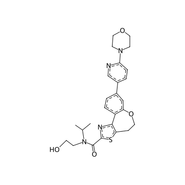 CC(C)N(CCO)C(=O)c1nc2c(s1)CCOc1cc(-c3ccc(N4CCOCC4)nc3)ccc1-2